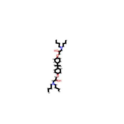 CCCCN(CCCC)CC(O)COC1CCC(C(C)(C)C2CCC(OCC(O)CN(CCCC)CCCC)CC2)CC1